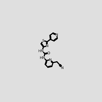 N#CCc1cccc(NC(=O)Nc2csc(-c3ccncc3)n2)n1